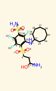 NC(O)CCS(=O)(=O)c1c(F)c(F)c(S(N)(=O)=O)c(F)c1NC1CCCCCCC1